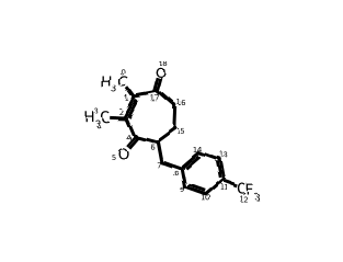 CC1=C(C)C(=O)C(Cc2ccc(C(F)(F)F)cc2)CCC1=O